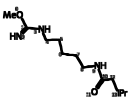 COC(=N)NCCCCCNC(=O)CC(C)C